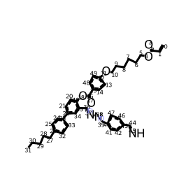 C=CC(=O)OCCCCCCOc1ccc(C(=O)Oc2ccc(-c3ccc(CCCCC)cc3)cc2/C=N/N=C/c2ccc(C=N)cc2)cc1